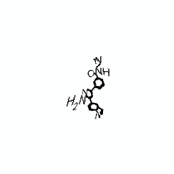 CN(C)CCNC(=O)c1cccc(-c2cnc(N)c(-c3ccc4c(ccn4C)c3)c2)c1